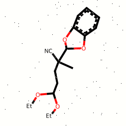 CCOC(CCC(C)(C#N)C1Oc2ccccc2O1)OCC